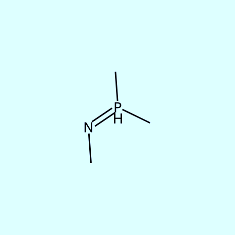 CN=[PH](C)C